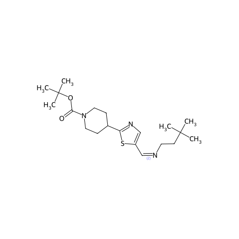 CC(C)(C)CC/N=C\c1cnc(C2CCN(C(=O)OC(C)(C)C)CC2)s1